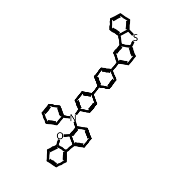 c1ccc(N(c2ccc(-c3ccc(-c4ccc5sc6ccccc6c5c4)cc3)cc2)c2cccc3c2oc2ccccc23)cc1